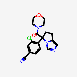 N#Cc1ccc(C2(C(=O)N3CCOCC3)CCc3cncn32)c(Cl)c1